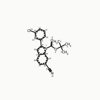 CC(C)(C)OC(=O)n1c(-c2cccc(Cl)n2)cc2ccc(C#N)cc21